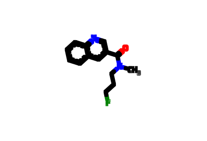 CN(CCCF)C(=O)c1cnc2ccccc2c1